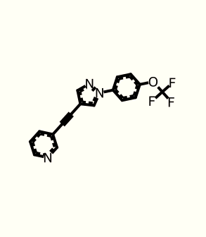 FC(F)(F)Oc1ccc(-n2cc(C#Cc3cccnc3)cn2)cc1